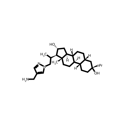 CCC[C@@]1(O)CC[C@H]2[C@H](CC[C@@H]3[C@@H]2CC[C@@]2(C)[C@H]3C[C@@H](O)[C@@H]2C(C)Cn2cc(CN)cn2)C1